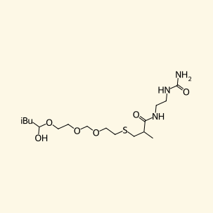 CCC(C)C(O)OCCOCOCCSCC(C)C(=O)NCCNC(N)=O